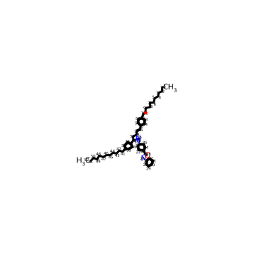 CCCCCCCCCCCCc1ccc(C=CC2=NN(c3ccc(-c4nc5ccccc5o4)cc3)C(c3ccc(CCCCCCCCCCCC)cc3)C2)cc1